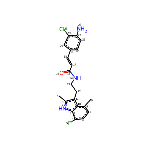 Cc1[nH]c2c(F)ccc(C)c2c1CCNC(=O)/C=C/c1ccc(N)c(Cl)c1